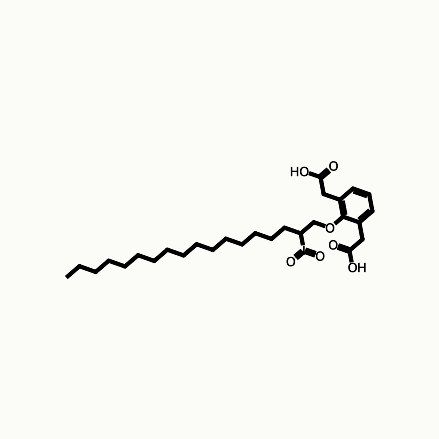 CCCCCCCCCCCCCCCCC(COc1c(CC(=O)O)cccc1CC(=O)O)I(=O)=O